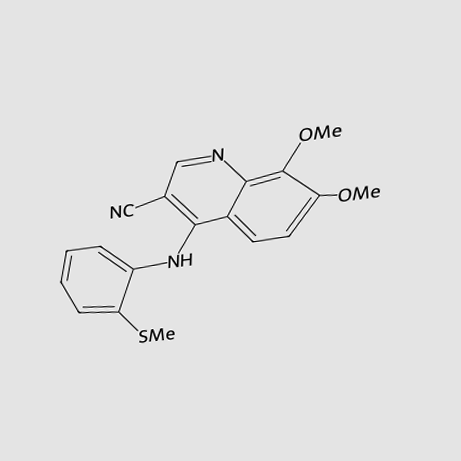 COc1ccc2c(Nc3ccccc3SC)c(C#N)cnc2c1OC